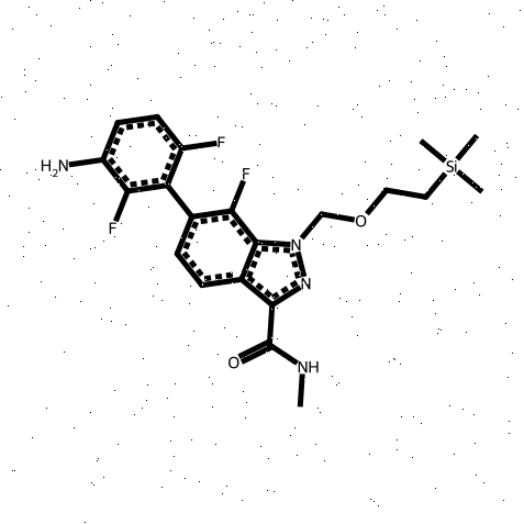 CNC(=O)c1nn(COCC[Si](C)(C)C)c2c(F)c(-c3c(F)ccc(N)c3F)ccc12